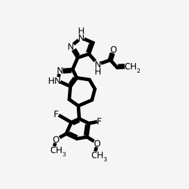 C=CC(=O)Nc1c[nH]nc1-c1n[nH]c2c1CCCC(c1c(F)c(OC)cc(OC)c1F)C2